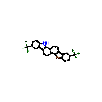 FC(F)(F)c1ccc2[nH]c3c(ccc4c3ccc3c5cc(C(F)(F)F)ccc5sc34)c2c1